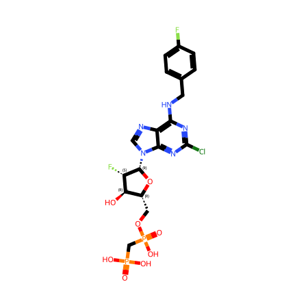 O=P(O)(O)CP(=O)(O)OC[C@H]1O[C@@H](n2cnc3c(NCc4ccc(F)cc4)nc(Cl)nc32)[C@@H](F)[C@@H]1O